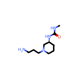 CNC(=O)N[C@H]1CCCN(CCCN)C1